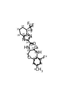 Cc1cc(F)c2c(c1)OC[C@H](NC(=O)c1nc3n(n1)[C@H](C(F)(F)F)CCC3)C(=O)N2